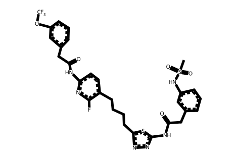 CS(=O)(=O)Nc1cccc(CC(=O)Nc2nnc(CCCCc3ccc(NC(=O)Cc4cccc(OC(F)(F)F)c4)nc3F)s2)c1